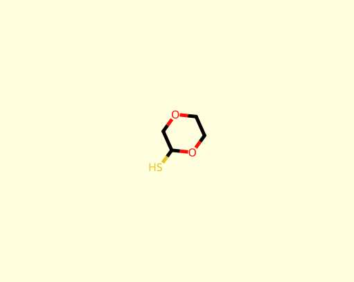 SC1COCCO1